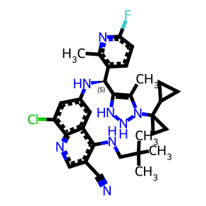 CC1=C([C@@H](Nc2cc(Cl)c3ncc(C#N)c(NCC(C)(C)C)c3c2)c2ccc(F)nc2C)NNN1C1(C2CC2)CC1